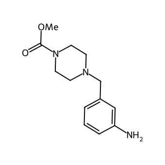 COC(=O)N1CCN(Cc2cccc(N)c2)CC1